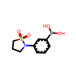 O=S1(=O)CCCN1c1cccc(B(O)O)c1